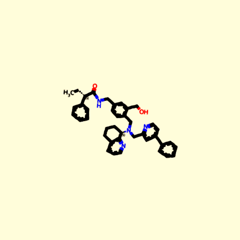 CC[C@H](C(=O)NCc1ccc(CN(Cc2cc(-c3ccccc3)ccn2)[C@H]2CCCc3cccnc32)c(CO)c1)c1ccccc1